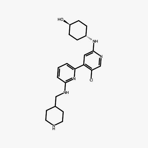 O[C@H]1CC[C@H](Nc2cc(-c3cccc(NCC4CCNCC4)n3)c(Cl)cn2)CC1